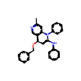 Cc1cc2c(cn1)C(OCc1ccccc1)C=C(Nc1ccccc1)N2c1ccccc1